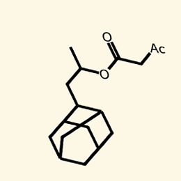 CC(=O)CC(=O)OC(C)CC1C2CC3CC(C2)CC1C3